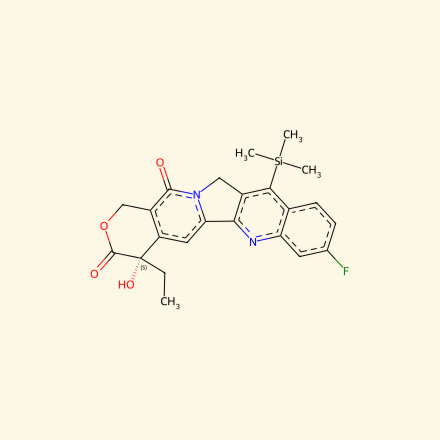 CC[C@@]1(O)C(=O)OCc2c1cc1n(c2=O)Cc2c-1nc1cc(F)ccc1c2[Si](C)(C)C